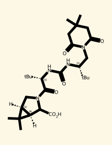 CC1(C)CC(=O)N(C[C@@H](NC(=O)N[C@H](C(=O)N2C[C@H]3[C@@H](C2C(=O)O)C3(C)C)C(C)(C)C)C(C)(C)C)C(=O)C1